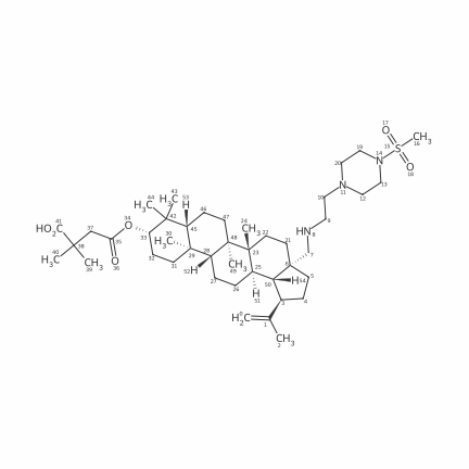 C=C(C)[C@@H]1CC[C@]2(CNCCN3CCN(S(C)(=O)=O)CC3)CC[C@]3(C)[C@H](CC[C@@H]4[C@@]5(C)CC[C@H](OC(=O)CC(C)(C)C(=O)O)C(C)(C)[C@@H]5CC[C@]43C)[C@@H]12